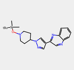 CC(C)(C)[Si](C)(C)ON1CCC(n2cc(-c3cnc4ccccc4n3)cn2)CC1